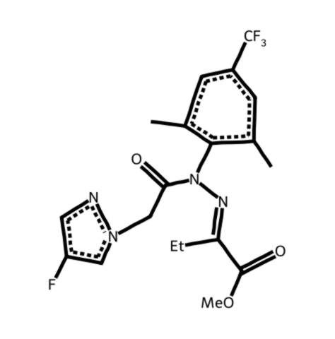 CCC(=NN(C(=O)Cn1cc(F)cn1)c1c(C)cc(C(F)(F)F)cc1C)C(=O)OC